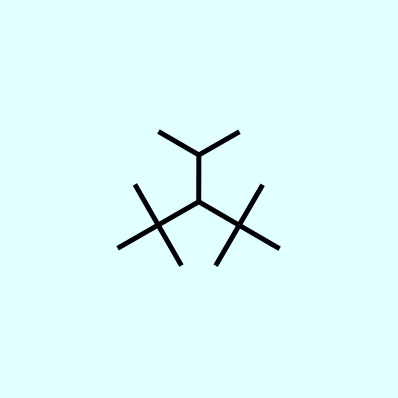 CC(C)C(C(C)(C)C)C(C)(C)C